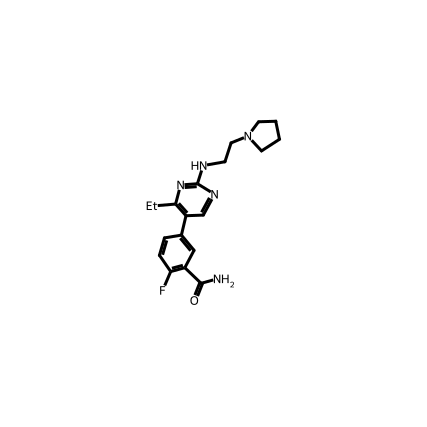 CCc1nc(NCCN2CCCC2)ncc1-c1ccc(F)c(C(N)=O)c1